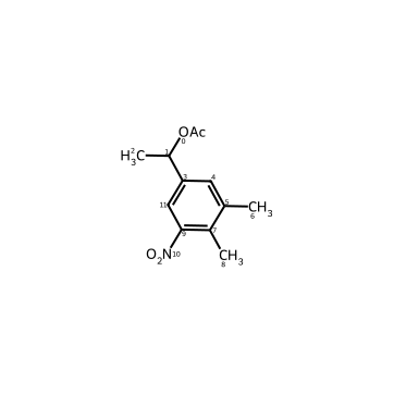 CC(=O)OC(C)c1cc(C)c(C)c([N+](=O)[O-])c1